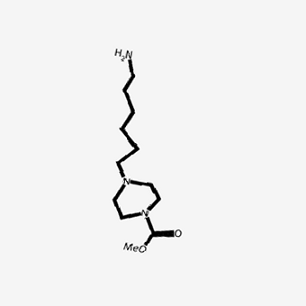 COC(=O)N1CCN(CCCCCCN)CC1